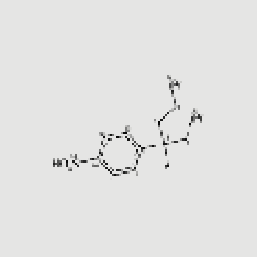 CC(C)CCC(C)(CC(C)C)c1ccc(S(=O)(=O)O)cc1